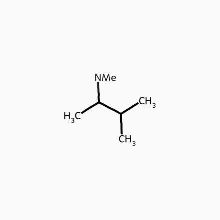 [CH2-][NH2+]C(C)C(C)C